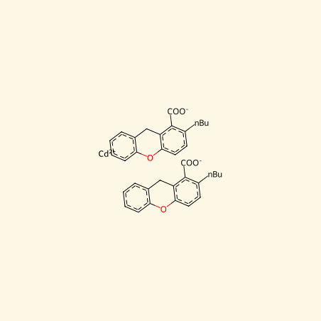 CCCCc1ccc2c(c1C(=O)[O-])Cc1ccccc1O2.CCCCc1ccc2c(c1C(=O)[O-])Cc1ccccc1O2.[Cd+2]